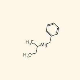 CC[CH](C)[Mg][CH2]c1ccccc1